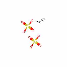 O=S(=O)([O-])[O-].O=S(=O)([O-])[O-].[Al+3].[Na+]